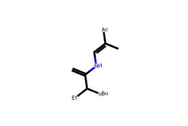 C=C(N/C=C(\C)C(C)=O)C(CC)CCCC